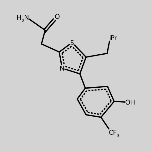 CC(C)Cc1sc(CC(N)=O)nc1-c1ccc(C(F)(F)F)c(O)c1